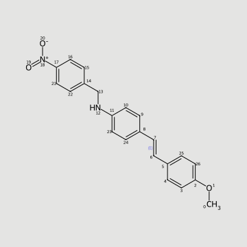 COc1ccc(/C=C/c2ccc(NCc3ccc([N+](=O)[O-])cc3)cc2)cc1